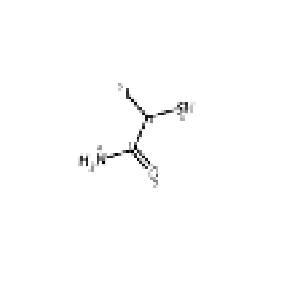 NC(=O)C(S)I